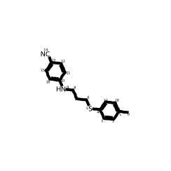 Cc1ccc(SCCCNc2ccc(C#N)cc2)cc1